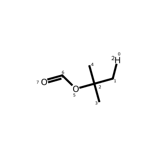 [2H]CC(C)(C)O[C]=O